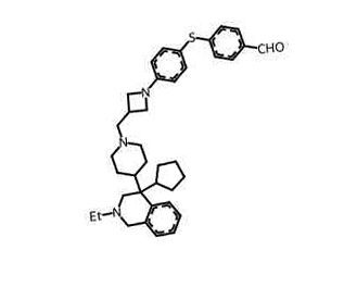 CCN1Cc2ccccc2C(C2CCCC2)(C2CCN(CC3CN(c4ccc(Sc5ccc(C=O)cc5)cc4)C3)CC2)C1